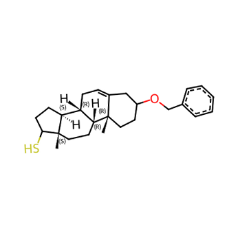 C[C@]12CCC(OCc3ccccc3)CC1=CC[C@@H]1[C@H]2CC[C@]2(C)C(S)CC[C@@H]12